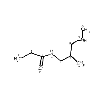 CCC(=O)NCC(C)CNC